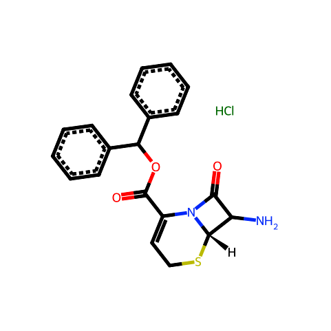 Cl.NC1C(=O)N2C(C(=O)OC(c3ccccc3)c3ccccc3)=CCS[C@@H]12